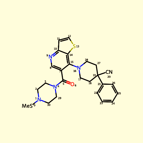 CSN1CCN(C(=O)c2cnc3ccsc3c2N2CCC(C#N)(c3ccccc3)CC2)CC1